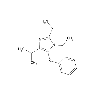 CCn1c(CN)nc(C(C)C)c1Sc1ccccc1